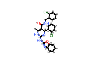 CC1=C(C(=O)NCc2ccccc2Cl)C(c2ccccc2Cl)N=C(Nc2nc3ccccc3o2)N1